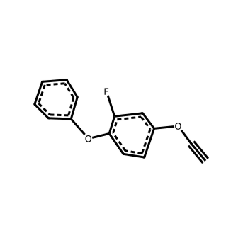 C#COc1ccc(Oc2ccccc2)c(F)c1